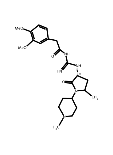 COc1ccc(CC(=O)NC(=N)N[C@@H]2CC(C)N(C3CCN(C)CC3)C2=O)cc1OC